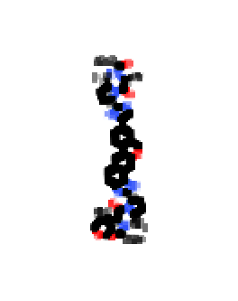 COC(=O)N[C@H](C(=O)N1[C@@H](C)CC[C@H]1c1ncc(-c2ccc3c(c2)COc2cc4c(ccc5nc([C@@H]6CC[C@H](C)N6C(=O)[C@@H](NC(=O)OC)C6(C)CCOCC6)[nH]c54)cc2-3)[nH]1)C(C)C